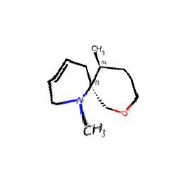 C[C@H]1CCOC[C@]12CC=CCN2C